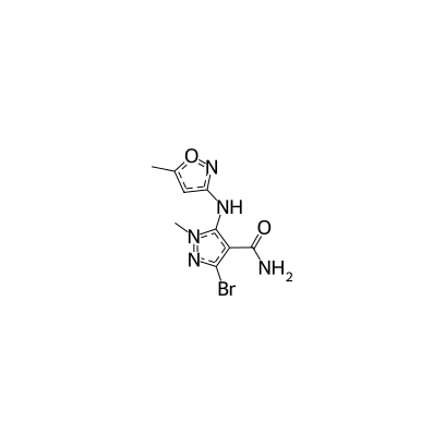 Cc1cc(Nc2c(C(N)=O)c(Br)nn2C)no1